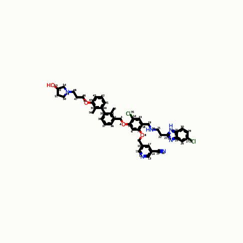 Cc1c(COc2cc(OCc3cncc(C#N)c3)c(CNCCc3nc4cc(Cl)ccc4[nH]3)cc2Cl)cccc1-c1cccc(OCCCN2CCC(O)C2)c1C